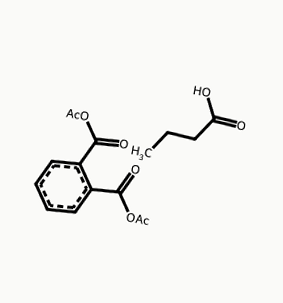 CC(=O)OC(=O)c1ccccc1C(=O)OC(C)=O.CCCC(=O)O